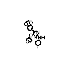 C[C@H]1CC[C@H](Nc2ncc(-c3ccc4c(c3)OCCO4)c(O[C@@H]3CCOC3)n2)CC1